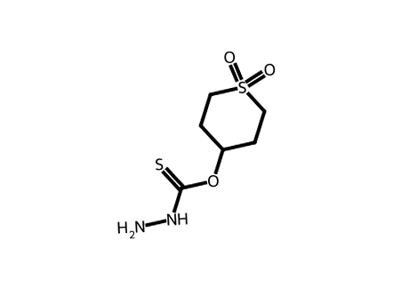 NNC(=S)OC1CCS(=O)(=O)CC1